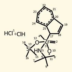 Cl.Cl.[CH2]=[Zr]([CH3])([NH]C(C)(C)C)([O]C)([O][Si](C)(C)C)[CH]1C=Cc2ccccc21